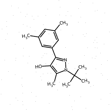 Cc1cc(C)cc(-c2nn(C(C)(C)C)c(C)c2O)c1